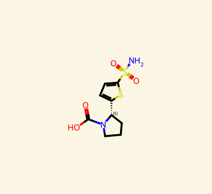 NS(=O)(=O)c1ccc([C@@H]2CCCN2C(=O)O)s1